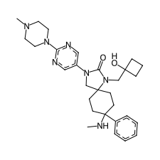 CNC1(c2ccccc2)CCC2(CC1)CN(c1cnc(N3CCN(C)CC3)nc1)C(=O)N2CC1(O)CCC1